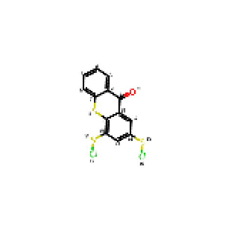 O=c1c2ccccc2sc2c(SCl)cc(SCl)cc12